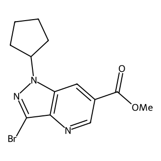 COC(=O)c1cnc2c(Br)nn(C3CCCC3)c2c1